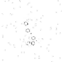 CCC(C)(C)Oc1ccc(C2(c3ccc(OC(=O)c4ccc(Oc5ccc(C(=O)C(C)(C)CC)cc5)cc4)cc3)CCCCC2)cc1